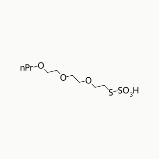 CCCOCCOCCOCCSS(=O)(=O)O